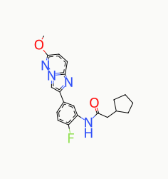 COc1ccc2nc(-c3ccc(F)c(NC(=O)CC4CCCC4)c3)cn2n1